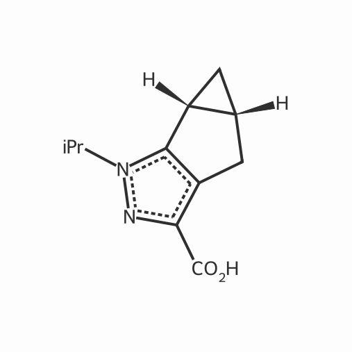 CC(C)n1nc(C(=O)O)c2c1[C@@H]1C[C@@H]1C2